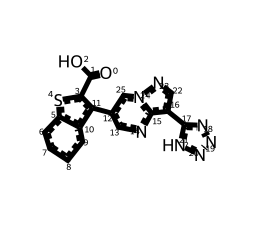 O=C(O)c1sc2ccccc2c1-c1cnc2c(-c3nnn[nH]3)cnn2c1